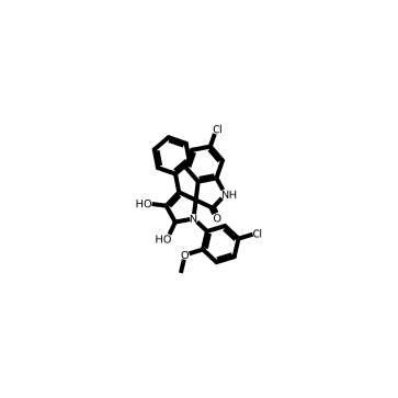 COc1ccc(Cl)cc1N1C(O)C(O)=C(c2ccccc2)C12C(=O)Nc1cc(Cl)ccc12